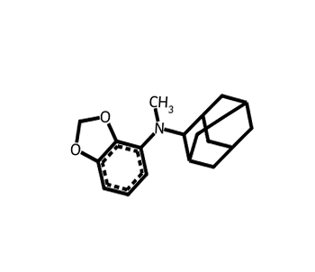 CN(c1cccc2c1OCO2)C1C2CC3CC(C2)CC1C3